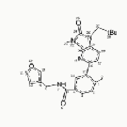 Cc1ccc(C(=O)NCc2cnoc2)cc1-c1ccc2c(n1)n(C)c(=O)n2CC(C)(C)C